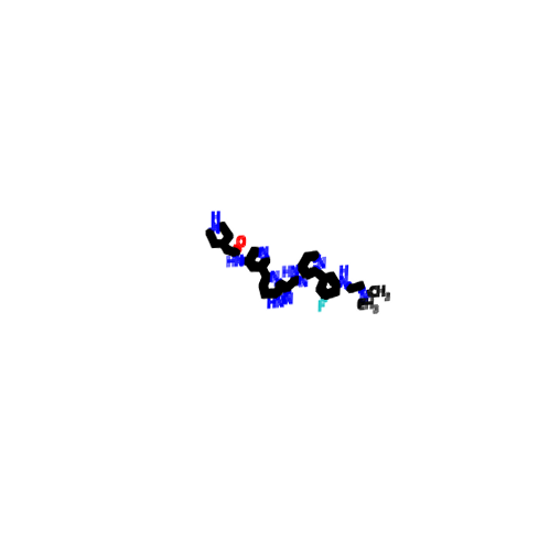 CN(C)CCNc1cc(F)cc(-c2nccc3[nH]c(-c4n[nH]c5ccc(-c6cncc(NC(=O)CC7CCNCC7)c6)nc45)nc23)c1